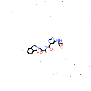 CC(NC(=O)c1cc(NC2COC2)ncn1)[C@H](O)CN1CCc2ccccc2C1